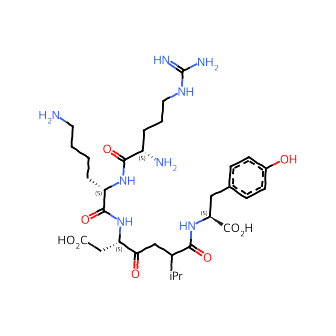 CC(C)C(CC(=O)[C@H](CC(=O)O)NC(=O)[C@H](CCCCN)NC(=O)[C@@H](N)CCCNC(=N)N)C(=O)N[C@@H](Cc1ccc(O)cc1)C(=O)O